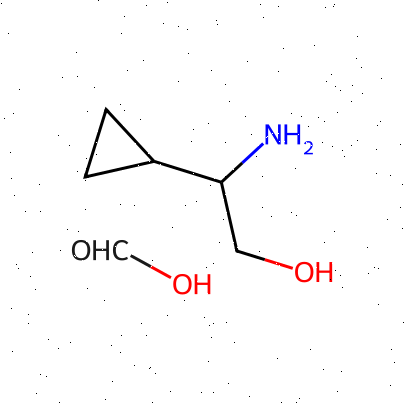 NC(CO)C1CC1.O=CO